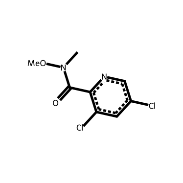 CON(C)C(=O)c1ncc(Cl)cc1Cl